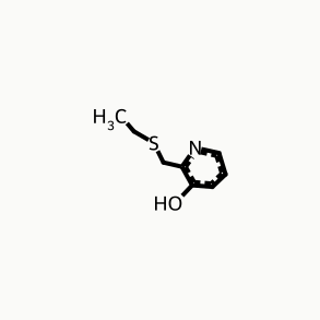 CCSCc1ncccc1O